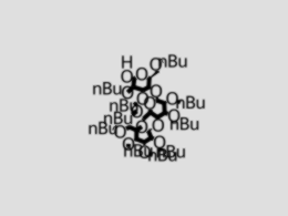 CCCCOCC1O[C@@H](O[C@H]2C(OCCCC)C(OCCCC)[C@H](O)O[C@H]2COCCCC)[C@@H](OCCCC)C(OCCCC)[C@H]1O[C@H]1OC(COCCCC)[C@H](OCCCC)[C@H](OCCCC)C1OCCCC